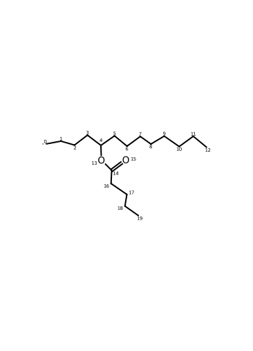 [CH2]CCCC(CCCCCCCC)OC(=O)CCCC